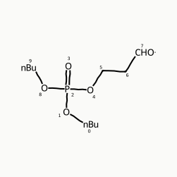 CCCCOP(=O)(OCC[C]=O)OCCCC